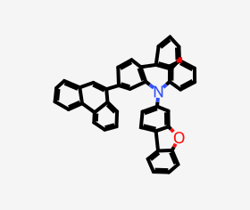 c1ccc(-c2ccc(-c3cc4ccccc4c4ccccc34)cc2N(c2ccccc2)c2ccc3c(c2)oc2ccccc23)cc1